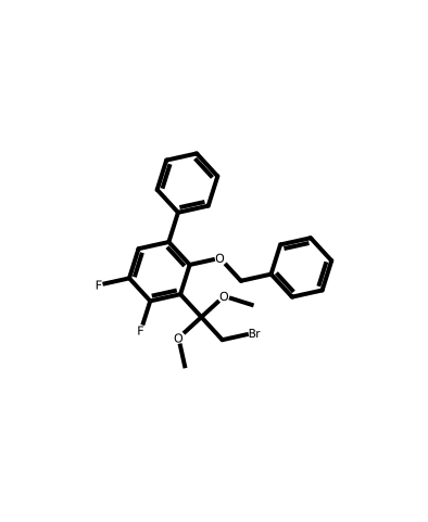 COC(CBr)(OC)c1c(F)c(F)cc(-c2ccccc2)c1OCc1ccccc1